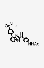 CC(=O)Nc1ccc(Nc2nc3c(-c4ccc(C(N)=O)cc4)cccn3n2)cc1